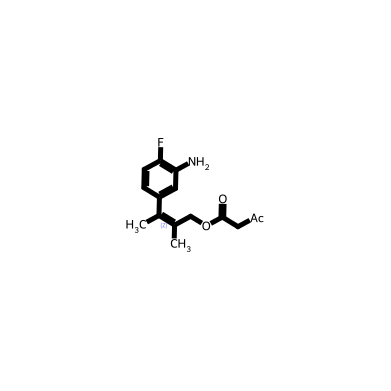 CC(=O)CC(=O)OC/C(C)=C(/C)c1ccc(F)c(N)c1